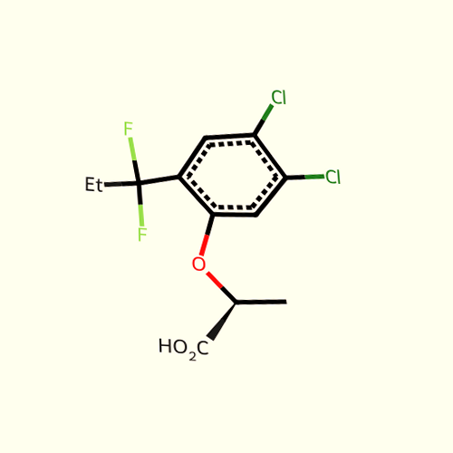 CCC(F)(F)c1cc(Cl)c(Cl)cc1O[C@@H](C)C(=O)O